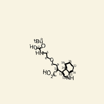 CC(C)(C)OC(O)NCCOCCC(C(=O)O)c1c[nH]c2ccccc12